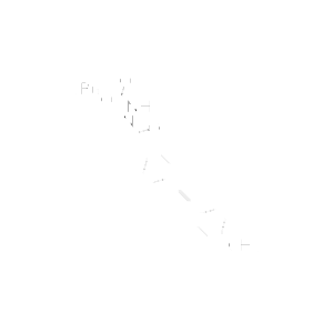 Cc1ccc(C#Cc2ccc(CC(=O)NNC(=O)OC(C)(C)C)cc2)cc1